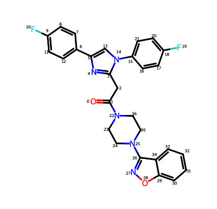 O=C(Cc1nc(-c2ccc(F)cc2)cn1-c1ccc(F)cc1)N1CCN(c2noc3ccccc23)CC1